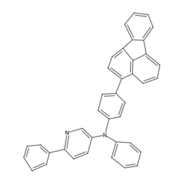 c1ccc(-c2ccc(N(c3ccccc3)c3ccc(-c4ccc5c6c(cccc46)-c4ccccc4-5)cc3)cn2)cc1